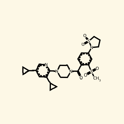 CS(=O)(=O)c1cc(N2CCCS2(=O)=O)ccc1C(=O)N1CCN(c2ncc(C3CC3)cc2C2CC2)CC1